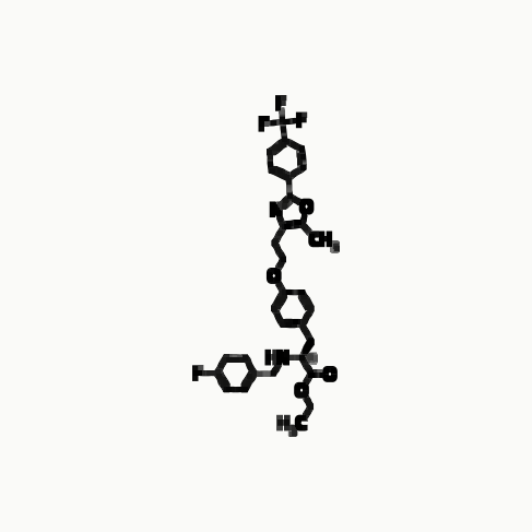 CCOC(=O)[C@H](Cc1ccc(OCCc2nc(-c3ccc(C(F)(F)F)cc3)oc2C)cc1)NCc1ccc(F)cc1